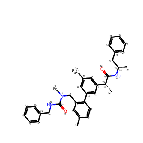 CCN(Cc1cc(C)ccc1-c1cc([C@@H](C)C(=O)N[C@H](C)Cc2ccccc2)cc(C(F)(F)F)c1)C(=O)NCc1ccccc1